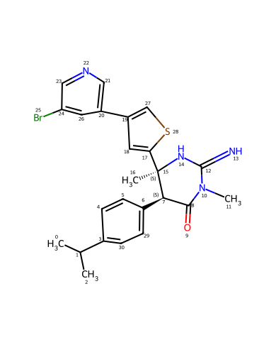 CC(C)c1ccc([C@@H]2C(=O)N(C)C(=N)N[C@]2(C)c2cc(-c3cncc(Br)c3)cs2)cc1